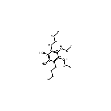 CCCCc1c(O)c(O)c(CCCC)c(OCC)c1OCC